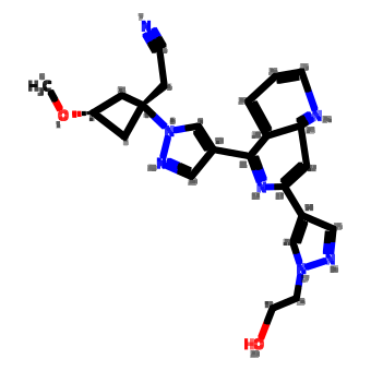 CO[C@H]1C[C@@](CC#N)(n2cc(-c3nc(-c4cnn(CCO)c4)cc4ncccc34)cn2)C1